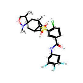 CC1CON(C)[C@]12CC1CC[C@@H](C2)C1S(=O)(=O)c1cc(C(=O)Nc2cc(F)c(F)c(F)c2)ccc1Cl